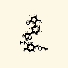 CCOCc1ccc(C)c(Nc2ncc(-c3ccnc(N4C(=O)CCC4C)c3)o2)c1